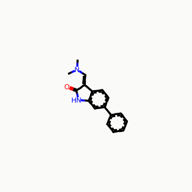 CN(C)C=C1C(=O)Nc2cc(-c3ccccc3)ccc21